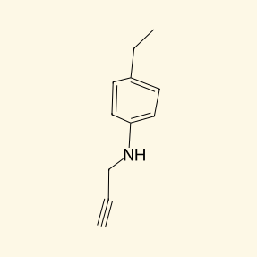 C#CCNc1ccc(CC)cc1